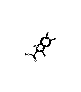 Cc1cc2c(C)c(C(=O)O)[nH]c2cc1Cl